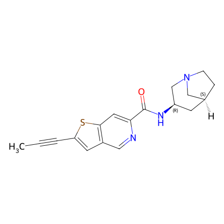 CC#Cc1cc2cnc(C(=O)N[C@@H]3C[C@@H]4CCN(C4)C3)cc2s1